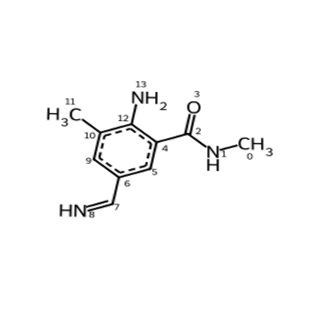 CNC(=O)c1cc(C=N)cc(C)c1N